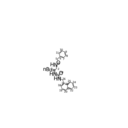 CCCC[C@H](CNOCc1ccccc1)NC(=O)NCc1cccc2ccccc12